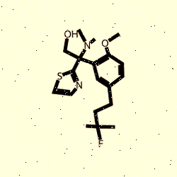 COc1ccc(CCC(C)(C)F)cc1C(CO)(c1nccs1)N(C)C